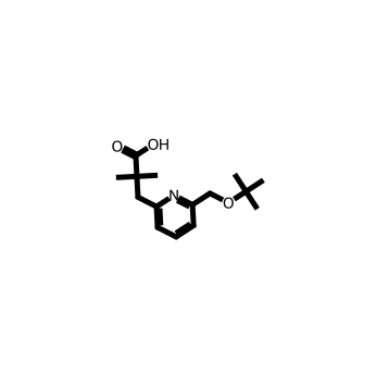 CC(C)(C)OCc1cccc(CC(C)(C)C(=O)O)n1